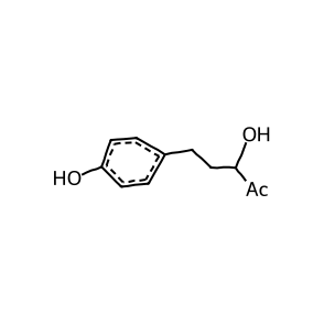 CC(=O)C(O)CCc1ccc(O)cc1